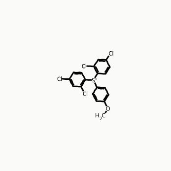 COc1ccc([S+](c2ccc(Cl)cc2Cl)c2ccc(Cl)cc2Cl)cc1